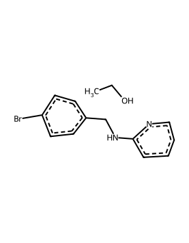 Brc1ccc(CNc2ccccn2)cc1.CCO